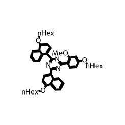 CCCCCCOc1ccc(-c2nc(-c3ccc(OCCCCCC)c4ccccc34)nc(-c3ccc(OCCCCCC)c4ccccc34)n2)c(OC)c1